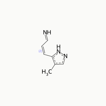 Cc1cn[nH]c1/C=C\C=N